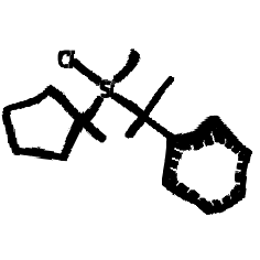 CC1([Si](C)(Cl)C(C)(C)c2ccccc2)CCCC1